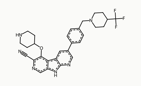 N#Cc1ncc2[nH]c3ncc(-c4ccc(CN5CCC(C(F)(F)F)CC5)cc4)cc3c2c1OC1CCNCC1